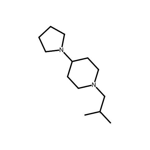 C[C](C)CN1CCC(N2CCCC2)CC1